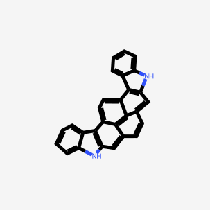 c1ccc2c(c1)[nH]c1cc3ccc4cc5[nH]c6ccccc6c5c5ccc(c12)c3c45